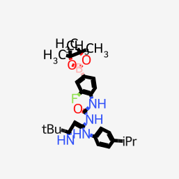 CC(C)c1ccc(N/C(=C\C(=N)C(C)(C)C)NC(=O)Nc2ccc(B3OC(C)(C)C(C)(C)O3)cc2F)cc1